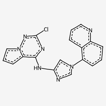 Clc1nc(Nc2cn(-c3cccc4ncccc34)cn2)c2cccn2n1